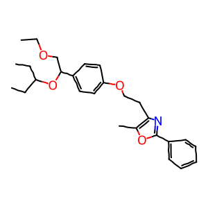 CCOCC(OC(CC)CC)c1ccc(OCCc2nc(-c3ccccc3)oc2C)cc1